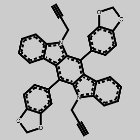 C#CCn1c2ccccc2c2c(-c3ccc4c(c3)OCO4)c3c(c(-c4ccc5c(c4)OCO5)c21)c1ccccc1n3CC#C